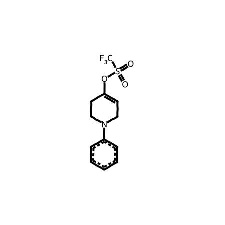 O=S(=O)(OC1=CCN(c2ccccc2)CC1)C(F)(F)F